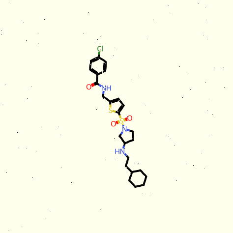 O=C(NCc1ccc(S(=O)(=O)N2CCC(NCCC3CCCCC3)C2)s1)c1ccc(Cl)cc1